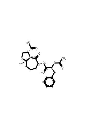 CC(=O)S[C@@H](Cc1ccccc1)C(=O)N[C@@H]1CCC[C@H]2OC[C@H](C(=O)O)N2C1=O